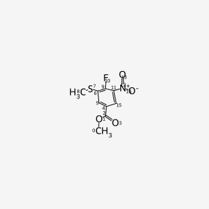 COC(=O)c1cc(SC)c(F)c([N+](=O)[O-])c1